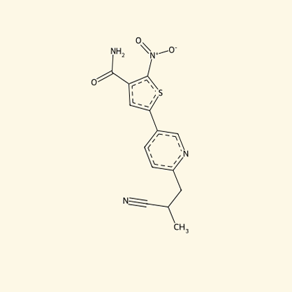 CC(C#N)Cc1ccc(-c2cc(C(N)=O)c([N+](=O)[O-])s2)cn1